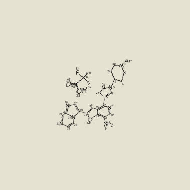 CC(=O)N1CCC(n2cc(-c3ncc(N)c4oc(-c5cnc6cnccn56)cc34)cn2)CC1.O=C(O)C(F)(F)F